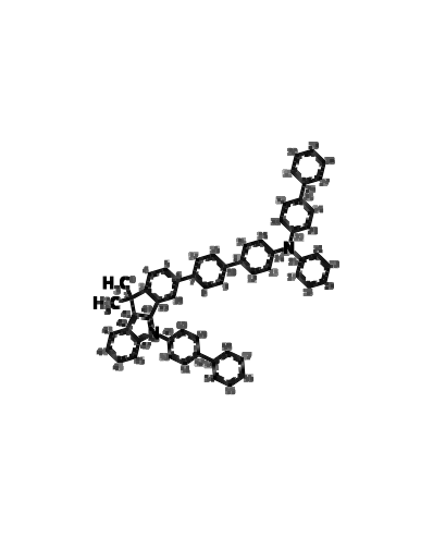 CC1(C)c2ccc(-c3ccc(-c4ccc(N(c5ccccc5)c5ccc(-c6ccccc6)cc5)cc4)cc3)cc2-c2c1c1ccccc1n2-c1ccc(-c2ccccc2)cc1